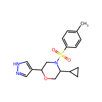 Cc1ccc(S(=O)(=O)N2CC(c3cn[nH]c3)OCC2C2CC2)cc1